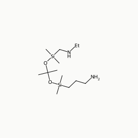 CCNC[Si](C)(C)OC(C)(C)O[Si](C)(C)CCCN